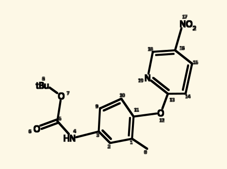 Cc1cc(NC(=O)OC(C)(C)C)ccc1Oc1ccc([N+](=O)[O-])cn1